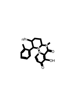 CCCC1CCC2N(C)C(=O)c3c(O)c(=O)ccn3N2C1c1ccccc1C